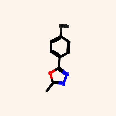 COc1ccc(-c2nnc(C)o2)cc1